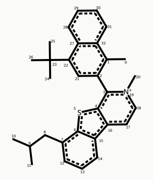 Cc1c(-c2c3sc4c(CC(C)C)cccc4c3cc[n+]2C)cc(C(C)(C)C)c2ccccc12